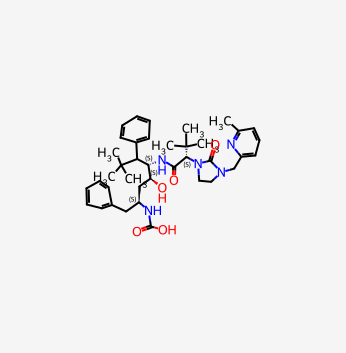 Cc1cccc(CN2CCN([C@H](C(=O)N[C@@H](C(c3ccccc3)C(C)(C)C)[C@@H](O)C[C@H](Cc3ccccc3)NC(=O)O)C(C)(C)C)C2=O)n1